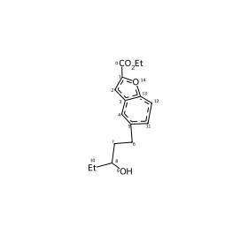 CCOC(=O)c1cc2cc(CCC(O)CC)ccc2o1